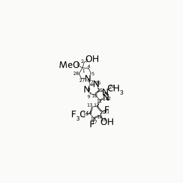 COC1(CO)CCN(c2ncc3c(-c4cc(C(F)(F)F)c(F)c(O)c4F)nn(C)c3n2)CC1